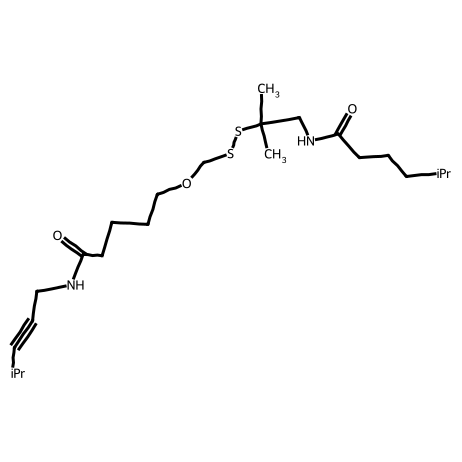 CC(C)C#CCNC(=O)CCCCOCSSC(C)(C)CNC(=O)CCCC(C)C